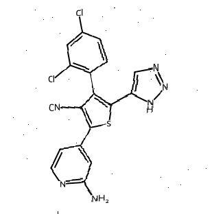 [C-]#[N+]c1c(-c2ccnc(N)c2)sc(-c2cnn[nH]2)c1-c1ccc(Cl)cc1Cl